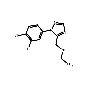 CCNCc1ncnn1-c1ccc(Cl)c(F)c1